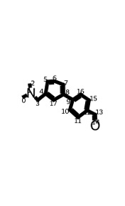 CN(C)Cc1cccc(-c2ccc(C=O)cc2)c1